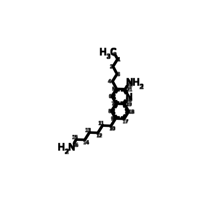 CCCCCc1cc2cc(CCCCCCN)ccc2nc1N